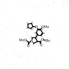 COC(=O)N1CC(C(=O)OC(C)(C)C)C(c2ccc(OC)c(OC3CCCC3)c2)C1